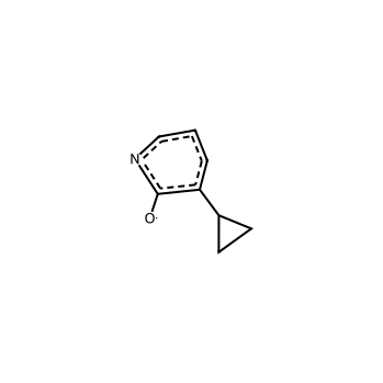 [O]c1ncccc1C1CC1